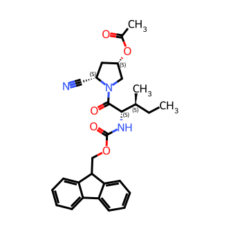 CC[C@H](C)[C@H](NC(=O)OCC1c2ccccc2-c2ccccc21)C(=O)N1C[C@@H](OC(C)=O)C[C@H]1C#N